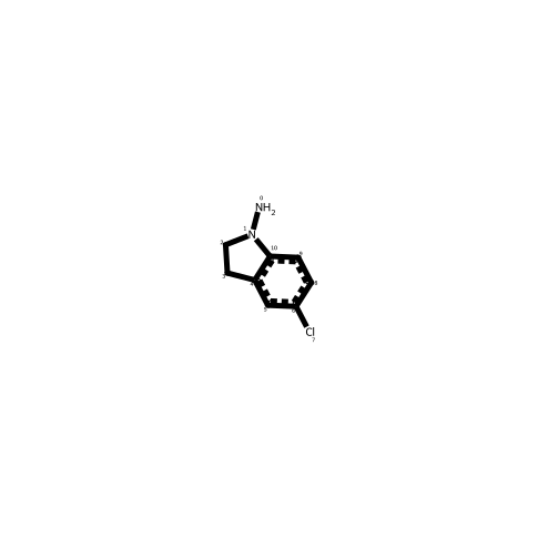 NN1CCc2cc(Cl)ccc21